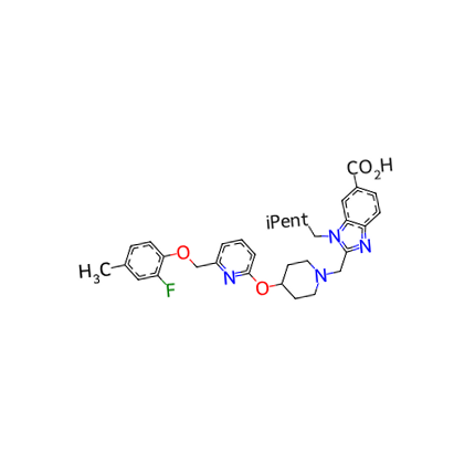 CCCC(C)Cn1c(CN2CCC(Oc3cccc(COc4ccc(C)cc4F)n3)CC2)nc2ccc(C(=O)O)cc21